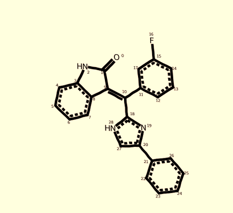 O=C1Nc2ccccc2C1=C(c1cccc(F)c1)c1nc(-c2ccccc2)c[nH]1